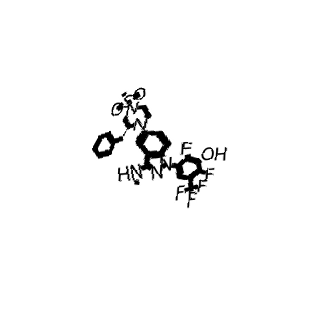 CNc1nn(-c2cc(C(F)(F)F)c(F)c(O)c2F)c2ccc(N3CCN(S(C)(=O)=O)C[C@H]3Cc3ccccc3)cc12